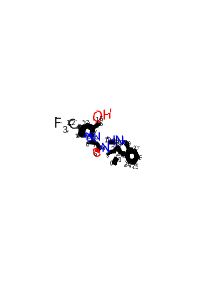 C=C[C@@H]1CN(C(=O)c2cn3cc(C(F)(F)F)cc(CO)c3n2)CC[C@]12Cc1ccccc1CN2